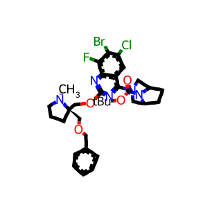 CN1CCC[C@@]1(COCc1ccccc1)COc1nc(N2CC3CCC(C2)N3C(=O)OC(C)(C)C)c2cc(Cl)c(Br)c(F)c2n1